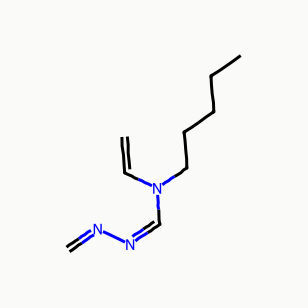 C=CN(/C=N\N=C)CCCCC